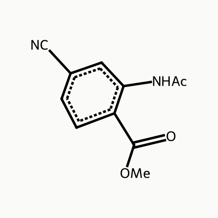 COC(=O)c1ccc(C#N)cc1NC(C)=O